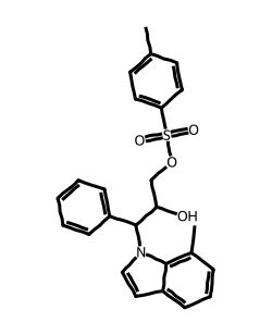 Cc1ccc(S(=O)(=O)OCC(O)C(c2ccccc2)n2ccc3cccc(C)c32)cc1